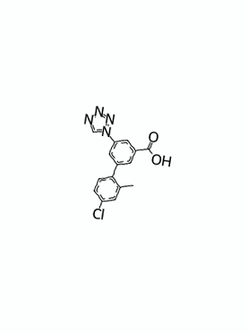 Cc1cc(Cl)ccc1-c1cc(C(=O)O)cc(-n2cnnn2)c1